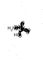 CS(=O)(=O)N1CCN(c2nc3c(N4CCOCC4)nc(-c4cnc(N)nc4)nc3n2CC2CC2)CC1.CS(=O)(=O)O